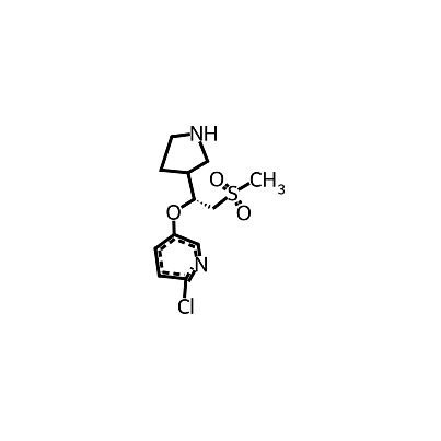 CS(=O)(=O)C[C@H](Oc1ccc(Cl)nc1)C1CCNC1